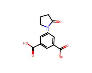 O=C(O)c1cccc(C(=O)O)c1.O=C1CCCN1